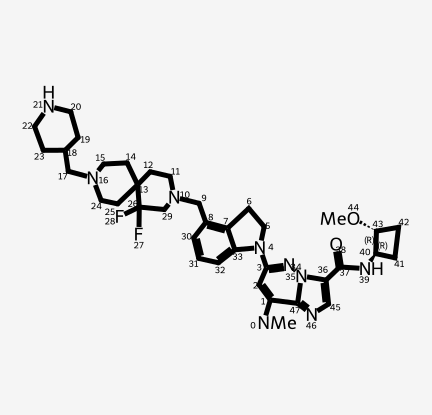 CNc1cc(N2CCc3c(CN4CCC5(CCN(CC6CCNCC6)CC5)C(F)(F)C4)cccc32)nn2c(C(=O)N[C@@H]3CC[C@H]3OC)cnc12